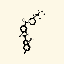 CCn1c(-c2nc3cc(C(=O)N4CCCC(OC(N)=O)C4)ccc3n2C)cc2cc(C)ccc21